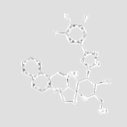 OC[C@H]1O[C@]2(OCC[C@H]2/N=C\c2c(O)ccc3ccccc23)[C@H](O)[C@@H](n2cc(-c3cc(F)c(F)c(F)c3)nn2)[C@H]1O